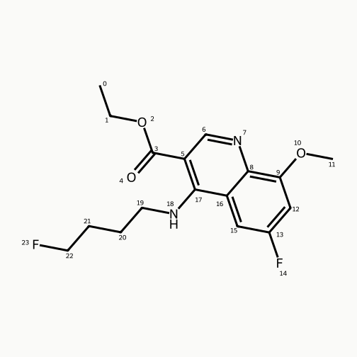 CCOC(=O)c1cnc2c(OC)cc(F)cc2c1NCCCCF